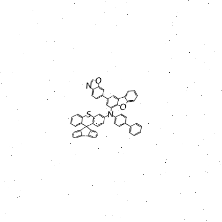 c1ccc(-c2ccc(N(c3ccc4c(c3)Sc3ccccc3C43c4ccccc4-c4ccccc43)c3cc(-c4ccc5ncoc5c4)cc4c3oc3ccccc34)cc2)cc1